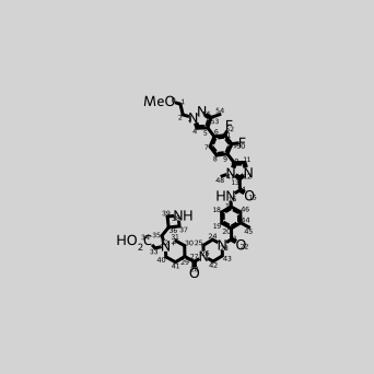 COCCn1cc(-c2ccc(-c3cnc(C(=O)Nc4ccc(C(=O)N5CCN(C(=O)C6CC[N+](CC(=O)O)(CC7CNC7)CC6)CC5)c(C)c4)n3C)c(F)c2F)c(C)n1